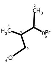 CCCC(C)C(C)C[O]